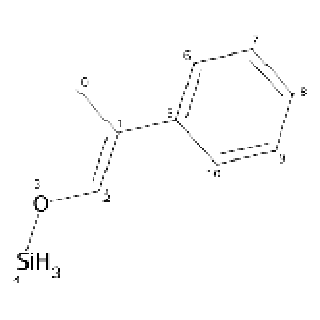 CC(=[C]O[SiH3])c1ccccc1